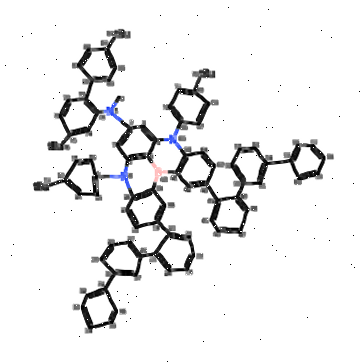 CN(c1cc2c3c(c1)N(c1ccc(C(C)(C)C)cc1)c1ccc(-c4ccccc4-c4cccc(-c5ccccc5)c4)cc1B3c1cc(-c3ccccc3-c3cccc(-c4ccccc4)c3)ccc1N2c1ccc(C(C)(C)C)cc1)c1cc(C(C)(C)C)ccc1-c1ccc(C(C)(C)C)cc1